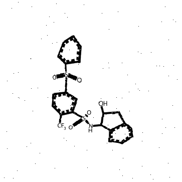 O=S(=O)(NC1c2ccccc2CC1O)c1cc(S(=O)(=O)c2ccccc2)ccc1C(F)(F)F